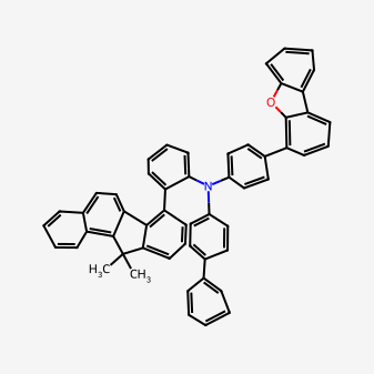 CC1(C)c2cccc(-c3ccccc3N(c3ccc(-c4ccccc4)cc3)c3ccc(-c4cccc5c4oc4ccccc45)cc3)c2-c2ccc3ccccc3c21